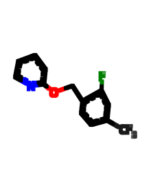 Fc1cc(C(F)(F)F)ccc1COc1ccccn1